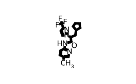 Cc1ccc(NC(=O)C(CC2CCCC2)n2ccc(C(F)(F)F)n2)nc1